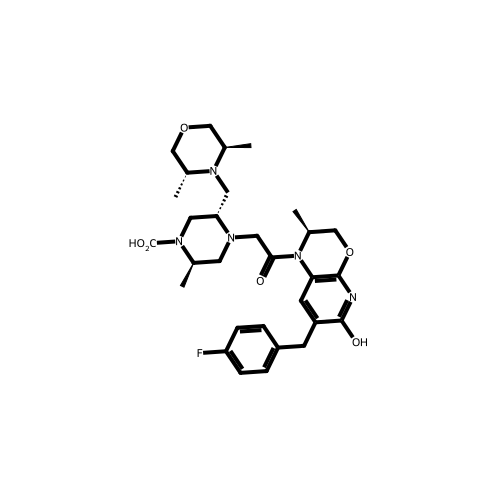 C[C@@H]1CN(CC(=O)N2c3cc(Cc4ccc(F)cc4)c(O)nc3OC[C@@H]2C)[C@@H](CN2[C@H](C)COC[C@H]2C)CN1C(=O)O